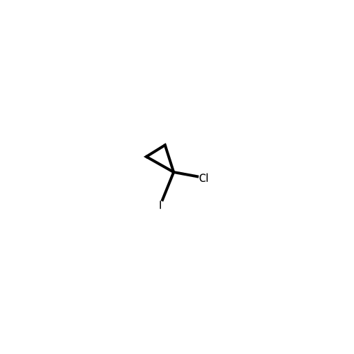 ClC1(I)CC1